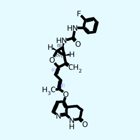 C=C1/C(=C\C=C(/C)Oc2ccnc3c2CCC(=O)N3)O[C@@H]2[C@@H](NC(=O)Nc3ccccc3F)[C@H]12